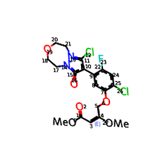 COC(=O)/C=C(\COc1cc(-c2c(Cl)n3n(c2=O)CCOCC3)c(F)cc1Cl)OC